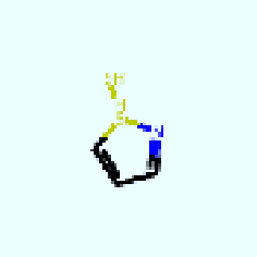 S[SH]1C=CC=N1